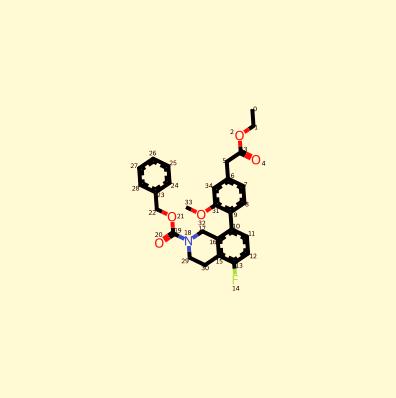 CCOC(=O)Cc1ccc(-c2ccc(F)c3c2CN(C(=O)OCc2ccccc2)CC3)c(OC)c1